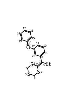 CCC(=C1SCSCS1)c1cccc(Oc2ccccc2)c1